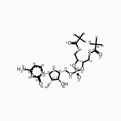 CC(C)(C)C(=O)SCCOP(=O)(OCCSC(=O)C(C)(C)C)OC[C@H]1S[C@@H](n2ccc(N)nc2=O)[C@@H](F)[C@@H]1O